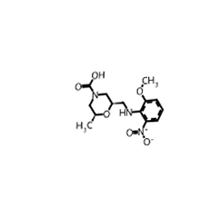 COc1cccc([N+](=O)[O-])c1NC[C@@H]1CN(C(=O)O)C[C@H](C)O1